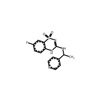 CC(NC1=NS(=O)(=O)c2cc(F)ccc2N1)c1ccncc1